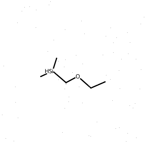 CCO[CH][SiH](C)C